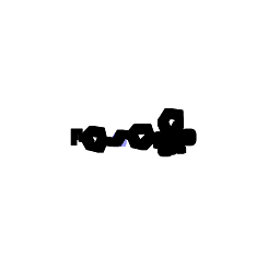 CS(=O)(=O)c1ccccc1[S+]([O-])c1ccc(/C=C/c2ccc(F)cc2)cc1